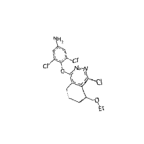 CCOC1CCCc2c(Oc3c(Cl)cc(N)cc3Cl)nnc(Cl)c21